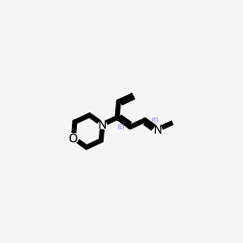 C=C/C(=C\C=N\C)N1CCOCC1